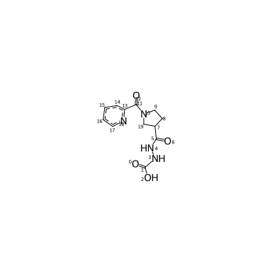 O=C(O)NNC(=O)C1CCN(C(=O)c2ccccn2)C1